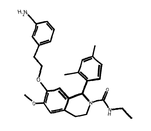 CCNC(=O)N1CCc2cc(OC)c(OCCc3cccc(N)c3)cc2C1c1ccc(C)cc1C